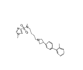 Cc1ccccc1-c1ccc(C2CN(CCCCN(C)S(=O)(=O)c3cn(C)cn3)C2)cc1